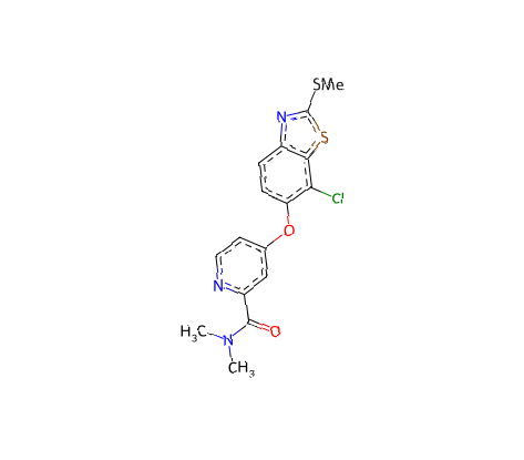 CSc1nc2ccc(Oc3ccnc(C(=O)N(C)C)c3)c(Cl)c2s1